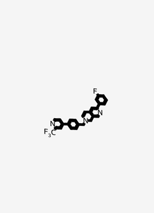 Fc1cccc(-c2cc3c(cn2)CN(Cc2ccc(-c4ccnc(C(F)(F)F)c4)cc2)C=C3)c1